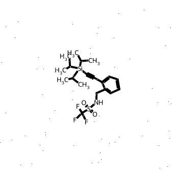 CC(C)[Si](C#Cc1ccccc1CNS(=O)(=O)C(F)(F)F)(C(C)C)C(C)C